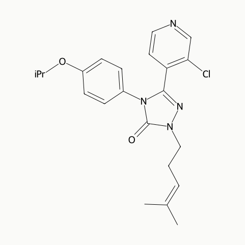 CC(C)=CCCn1nc(-c2ccncc2Cl)n(-c2ccc(OC(C)C)cc2)c1=O